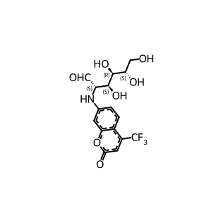 O=C[C@@H](Nc1ccc2c(C(F)(F)F)cc(=O)oc2c1)[C@H](O)[C@@H](O)[C@@H](O)CO